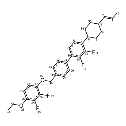 C/C=C/C1CCC(c2ccc(-c3ccc(COc4ccc(OCC)c(F)c4F)cc3)c(F)c2F)CC1